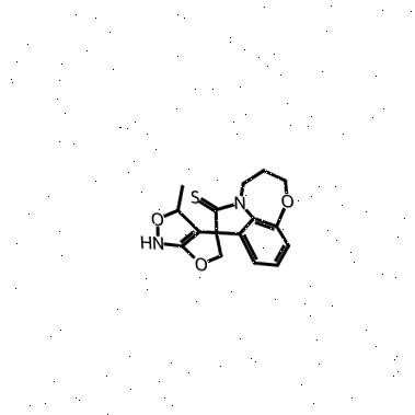 CC1ONC2=C1C1(CO2)C(=S)N2CCCOc3cccc1c32